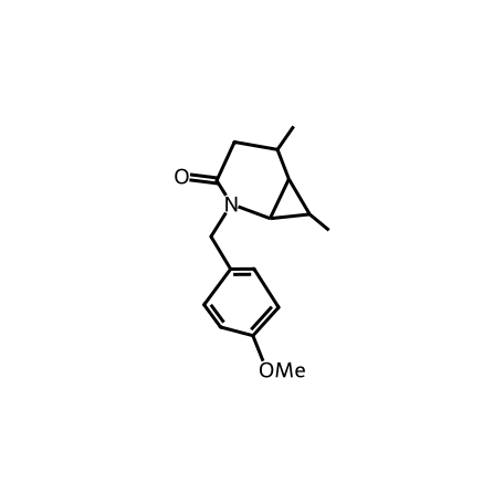 COc1ccc(CN2C(=O)CC(C)C3C(C)C32)cc1